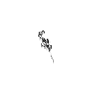 CCCCCCCCCCCCNC(=O)c1ccc(CNCc2ccc(Oc3ccccc3)cc2)c(Br)c1